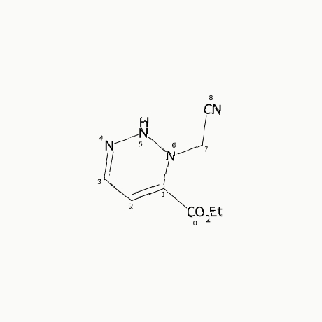 CCOC(=O)C1=CC=NNN1CC#N